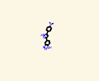 CN(C)c1ccc(-c2cc(-c3ccc4[nH]nnc4c3)n[nH]2)cc1